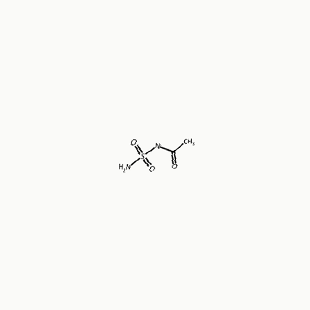 CC(=O)[N]S(N)(=O)=O